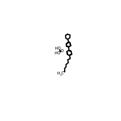 CCCCCCCCc1ccc(-c2ccc(C3CCCCC3)cc2)cc1.O=C(O)O